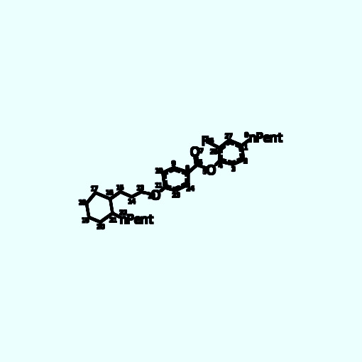 CCCCCc1ccc(OC(=O)c2ccc(OCCCC3CCCCC3CCCCC)cc2)c(F)c1